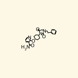 NC(=O)c1cccnc1O[C@H]1CC[C@H](N2C(=O)CN(CCc3ccccc3)C2=O)CC1